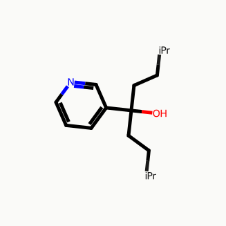 CC(C)CCC(O)(CCC(C)C)c1cccnc1